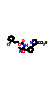 Cc1noc(-c2cccc(-c3cc(C(=O)O)ccn3)c2)c1NC(=O)OCCc1ccccc1Cl